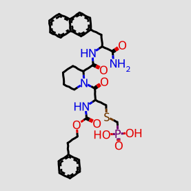 NC(=O)C(Cc1ccc2ccccc2c1)NC(=O)C1CCCCN1C(=O)C(CSCP(=O)(O)O)NC(=O)OCCc1ccccc1